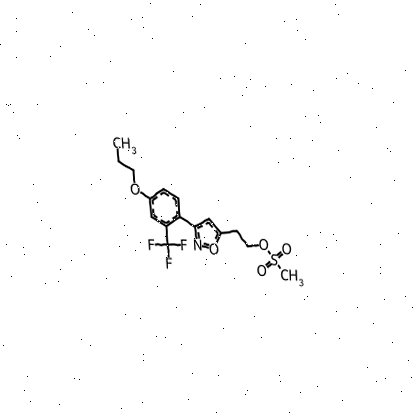 CCCOc1ccc(-c2cc(CCOS(C)(=O)=O)on2)c(C(F)(F)F)c1